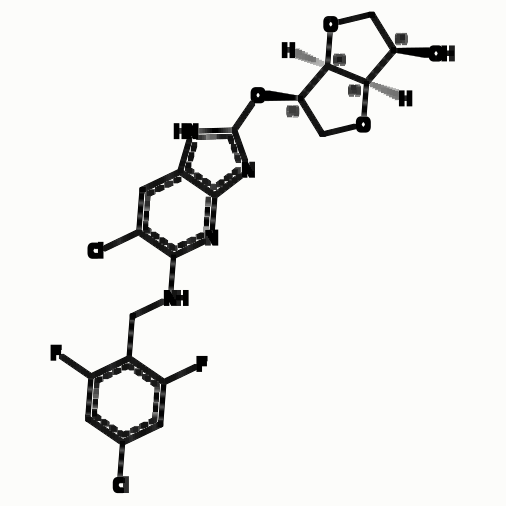 O[C@@H]1CO[C@H]2[C@@H]1OC[C@H]2Oc1nc2nc(NCc3c(F)cc(Cl)cc3F)c(Cl)cc2[nH]1